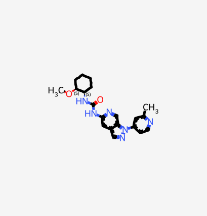 CO[C@H]1CCCC[C@@H]1NC(=O)Nc1cc2cnn(-c3ccnc(C)c3)c2cn1